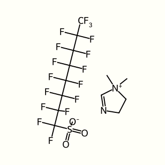 C[N+]1(C)C=NCC1.O=S(=O)([O-])C(F)(F)C(F)(F)C(F)(F)C(F)(F)C(F)(F)C(F)(F)C(F)(F)C(F)(F)F